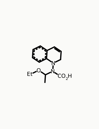 CCOC(C)N(C(=O)O)N1CC=Cc2ccccc21